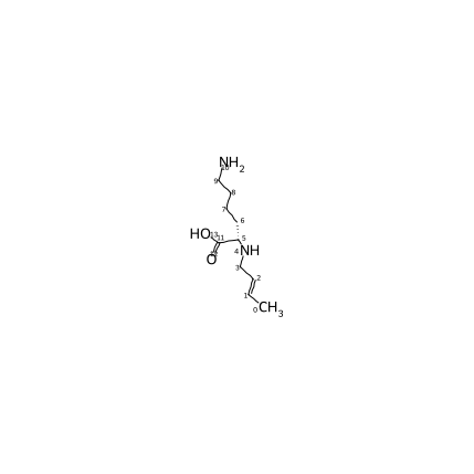 CC=CCN[C@@H](CCCCN)C(=O)O